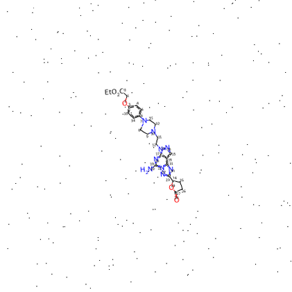 CCOC(=O)COc1ccc(N2CCN(CCn3ncc4c3nc(N)n3nc(C5CCC(=O)O5)nc43)CC2)cc1